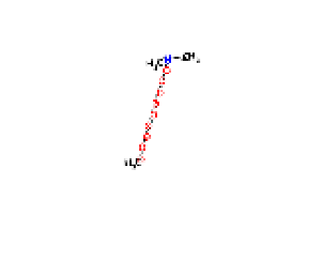 CCC#CCN(CC)CCOCCOCCOCCOCCOCCOCCOCCOCCOC